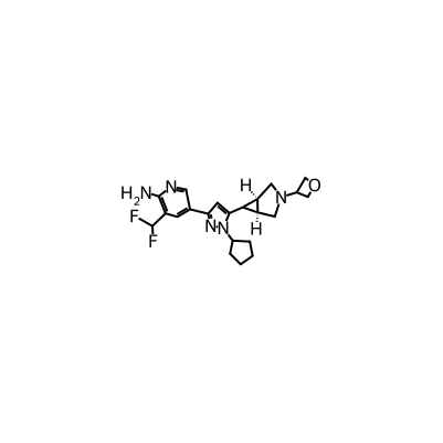 Nc1ncc(-c2cc(C3[C@H]4CN(C5COC5)C[C@@H]34)n(C3CCCC3)n2)cc1C(F)F